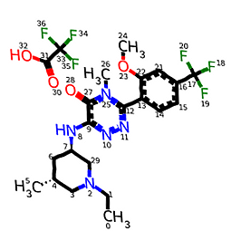 CCN1C[C@H](C)C[C@@H](Nc2nnc(-c3ccc(C(F)(F)F)cc3OC)n(C)c2=O)C1.O=C(O)C(F)(F)F